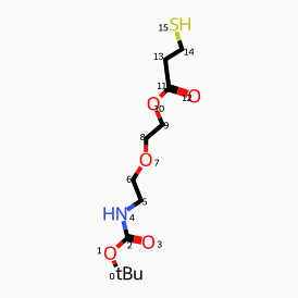 CC(C)(C)OC(=O)NCCOCCOC(=O)CCS